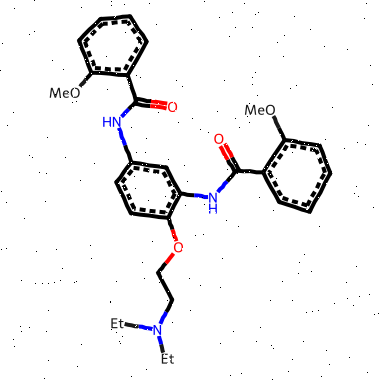 CCN(CC)CCOc1ccc(NC(=O)c2ccccc2OC)cc1NC(=O)c1ccccc1OC